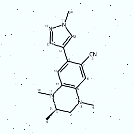 C[C@@H]1CN(C)c2cc(C#N)c(-c3cnn(C)c3)cc2N1C